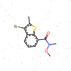 CON(C)C(=O)c1cccc2c(Br)c(C)sc12